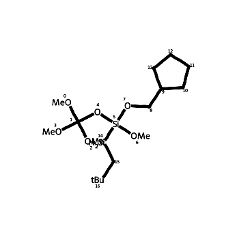 COC(OC)(OC)O[Si](OC)(OCC1CCCC1)[SiH2]CC(C)(C)C